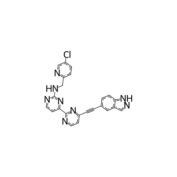 Clc1ccc(CNc2nccc(-c3nccc(C#Cc4ccc5[nH]ncc5c4)n3)n2)nc1